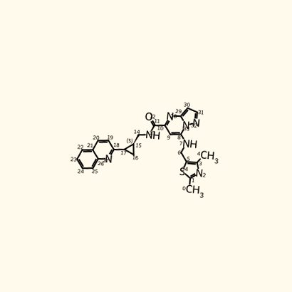 Cc1nc(C)c(CNc2cc(C(=O)NC[C@H]3CC3c3ccc4ccccc4n3)nc3ccnn23)s1